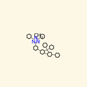 C=N/C(=N\C(=N/Cc1ccccc1)c1cccc(-c2ccc3c(c2)C(c2ccccc2)(c2ccccc2)c2cc(-c4ccccc4)ccc2-3)c1)c1ccccc1